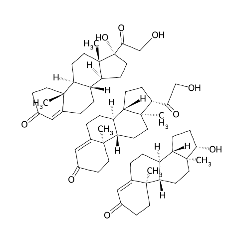 C[C@]12CCC(=O)C=C1CC[C@@H]1[C@@H]2CC[C@@]2(C)[C@H]1CC[C@]2(O)C(=O)CO.C[C@]12CC[C@H]3[C@@H](CCC4=CC(=O)CC[C@@]43C)[C@@H]1CC[C@@H]2C(=O)CO.C[C@]12CC[C@H]3[C@@H](CCC4=CC(=O)CC[C@@]43C)[C@@H]1CC[C@@H]2O